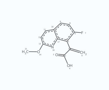 C=C(C(=O)O)c1c(F)ccc2ccc(OC)nc12